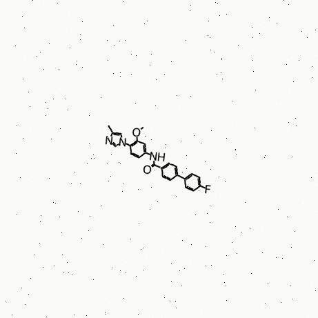 COc1cc(NC(=O)c2ccc(-c3ccc(F)cc3)cc2)ccc1-n1cnc(C)c1